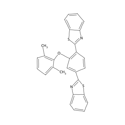 Cc1cccc(C)c1Oc1cc(-c2nc3ccccc3s2)ccc1-c1nc2ccccc2s1